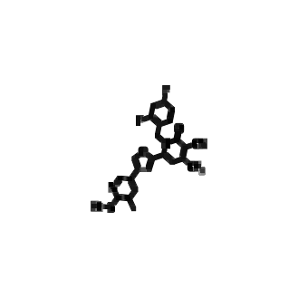 CCSc1ncc(-c2coc(-c3cc(C(F)(F)F)c(C#N)c(=O)n3Cc3ccc(F)cc3F)c2)cc1C